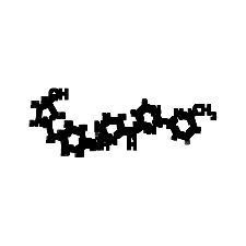 Cc1cccc(-c2nccc(Nc3ccnc(Nc4ccc(CN5CC[C@@H](O)C5)cc4)n3)n2)n1